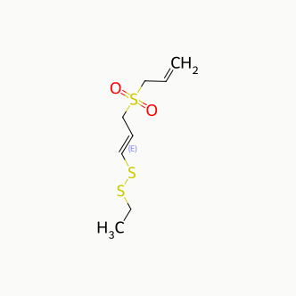 C=CCS(=O)(=O)C/C=C/SSCC